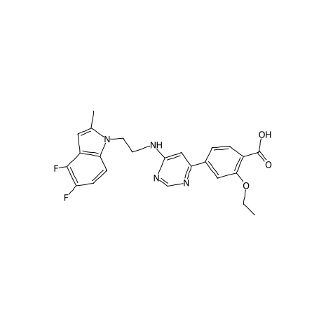 CCOc1cc(-c2cc(NCCn3c(C)cc4c(F)c(F)ccc43)ncn2)ccc1C(=O)O